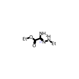 CCN/N=C(\N)C(=O)OCC